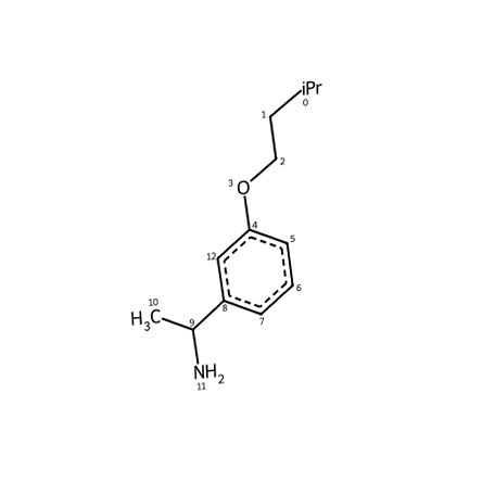 CC(C)CCOc1cccc(C(C)N)c1